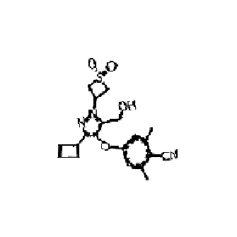 Cc1cc(Oc2c(C3CCC3)nn(C3CS(=O)(=O)C3)c2CO)cc(C)c1C#N